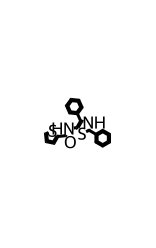 O=C(NC1=C(c2ccccc2)NC(c2ccccc2)S1)c1cccs1